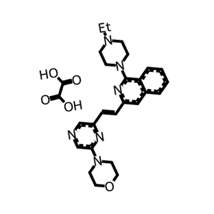 CCN1CCN(c2nc(C=Cc3cncc(N4CCOCC4)n3)cc3ccccc23)CC1.O=C(O)C(=O)O